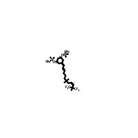 CC(C)(C/C=C\C(C)(C(F)(F)F)C(F)(F)F)CCC/C=C/C=C1C[C@@H](O[Si](C)(C)C(C)(C)C)C[C@H](O[Si](C)(C)C(C)(C)C)C1